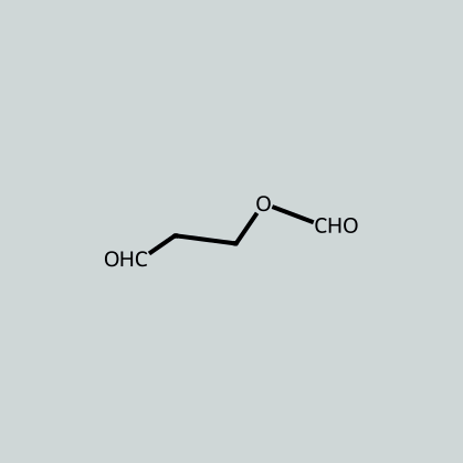 O=CCCOC=O